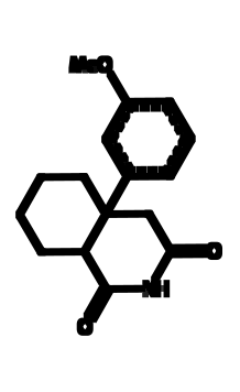 COc1cccc(C23CCCCC2C(=O)NC(=O)C3)c1